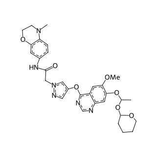 COc1cc2c(Oc3cnn(CC(=O)Nc4ccc5c(c4)OCCN5C)c3)ncnc2cc1OC(C)OC1CCCCO1